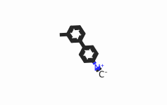 [C-]#[N+]c1ccc(-c2cccc(C)c2)cc1